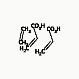 C=C.C=CC(=O)O.C=CC(=O)O